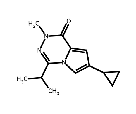 CC(C)c1nn(C)c(=O)c2cc(C3CC3)cn12